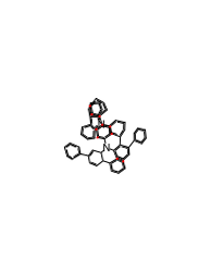 C1=CC(c2ccccc2)C(N(c2ccc(-c3ccccc3)cc2)c2cccc(-c3ccccc3)c2-c2cccc(-n3c4ccccc4c4ccccc43)c2)C=C1c1ccccc1